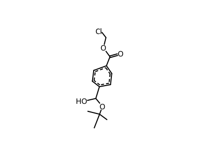 CC(C)(C)OC(O)c1ccc(C(=O)OCCl)cc1